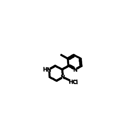 Cc1cccnc1C1CNCCN1C.Cl